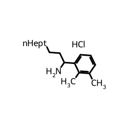 CCCCCCCCCC(N)c1cccc(C)c1C.Cl